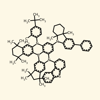 Cc1cc(C(C)(C)C)ccc1N1c2cc3c(cc2B2c4cc5c(cc4N(c4cccc6sc7ccccc7c46)c4cc(N6c7ccc(-c8ccccc8)cc7C7(C)CCCCC67C)cc1c42)C(C)(C)CC5(C)C)C(C)(C)CCC3(C)C